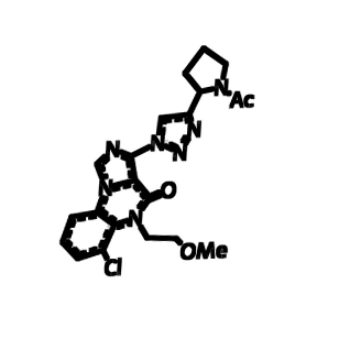 COCCn1c(=O)c2c(-n3cc(C4CCCN4C(C)=O)nn3)ncn2c2cccc(Cl)c21